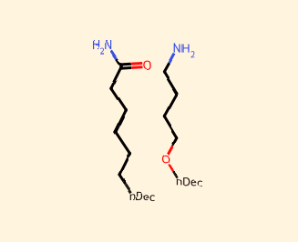 CCCCCCCCCCCCCCCC(N)=O.CCCCCCCCCCOCCCCN